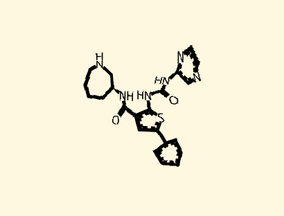 O=C(Nc1cnccn1)Nc1sc(-c2ccccc2)cc1C(=O)N[C@H]1CCCCNC1